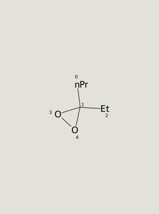 CCCC1(CC)OO1